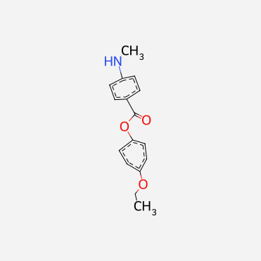 CCOc1ccc(OC(=O)c2ccc(NC)cc2)cc1